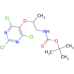 CC(CNC(=O)OC(C)(C)C)Oc1c(Cl)nc(Cl)nc1Cl